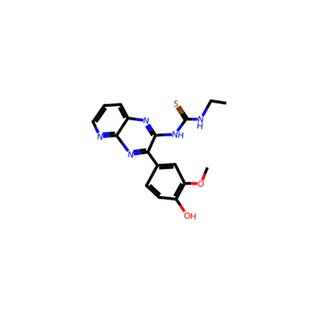 CCNC(=S)Nc1nc2cccnc2nc1-c1ccc(O)c(OC)c1